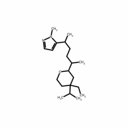 CCC1(C(C)C)CCOC(C(C)CCC(C)c2ccnn2C)C1